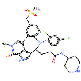 Cn1cc2c3c(c[nH]c3c1=O)C(CCC(=O)NC1CCNCC1)N(c1ccc(F)cc1F)c1ccc(CS(C)(=O)=O)cc1-2